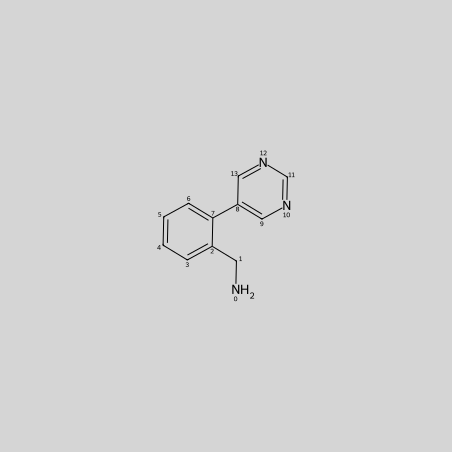 NCc1ccccc1-c1cncnc1